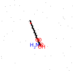 CCCCCCCCCCCCCCCCOC(=O)CCC(N)C(=O)O